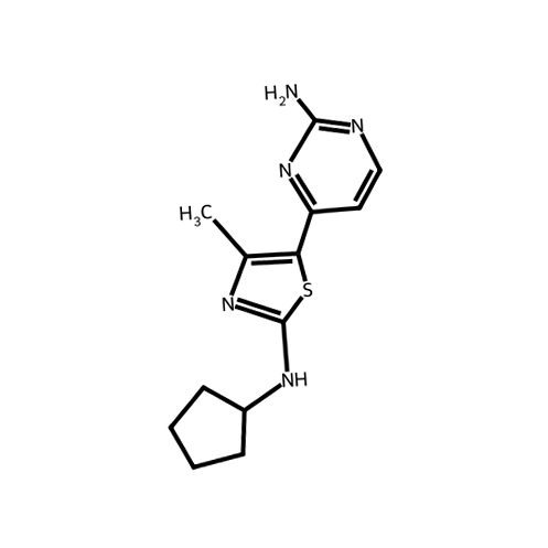 Cc1nc(NC2CCCC2)sc1-c1ccnc(N)n1